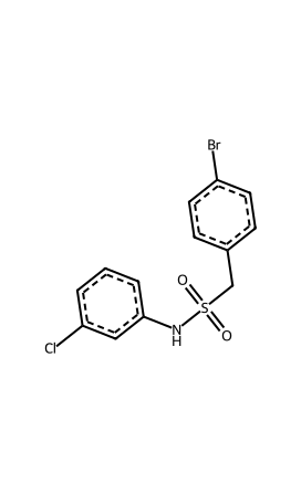 O=S(=O)(Cc1ccc(Br)cc1)Nc1cccc(Cl)c1